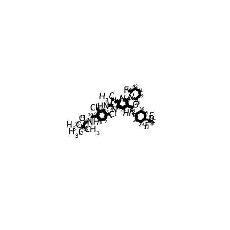 Cn1c(Nc2c(Cl)ccc(CNC(=O)C(C)(C)C)c2Cl)nc2cc(C(=O)N[C@H]3CC[C@H](C(F)(F)F)CC3)c(N3CCCCC3F)nc21